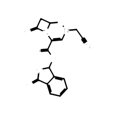 N#CCN1C=C(C(=O)OC2OC(=O)c3ccccc32)N2C(=O)CC2S1